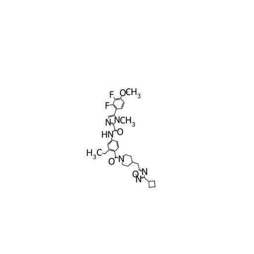 CCc1cc(NC(=O)c2ncc(-c3ccc(OC)c(F)c3F)n2C)ccc1C(=O)N1CCC(Cc2nc(C3CCC3)no2)CC1